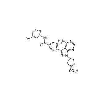 CC(C)c1ccnc(NC(=O)c2ccc(-c3nn(C4CCN(C(=O)O)C4)c4ncnc(N)c34)cc2)c1